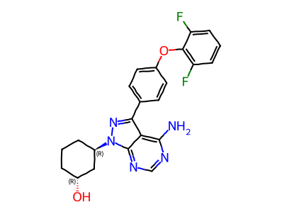 Nc1ncnc2c1c(-c1ccc(Oc3c(F)cccc3F)cc1)nn2[C@@H]1CCC[C@@H](O)C1